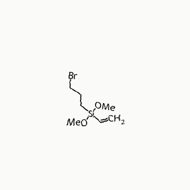 C=C[Si](CCCBr)(OC)OC